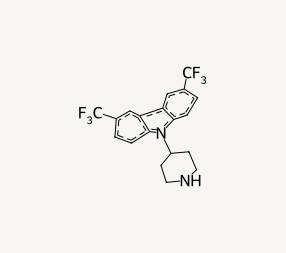 FC(F)(F)c1ccc2c(c1)c1cc(C(F)(F)F)ccc1n2C1CCNCC1